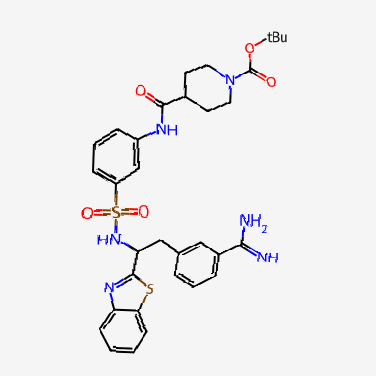 CC(C)(C)OC(=O)N1CCC(C(=O)Nc2cccc(S(=O)(=O)NC(Cc3cccc(C(=N)N)c3)c3nc4ccccc4s3)c2)CC1